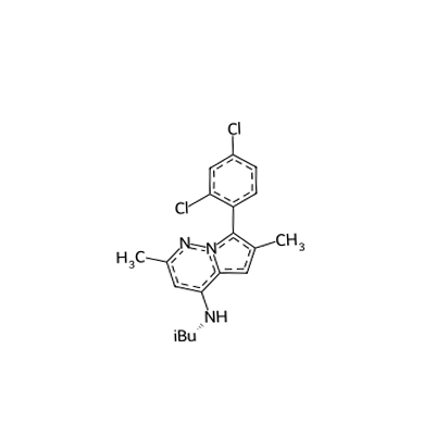 CC[C@@H](C)Nc1cc(C)nn2c(-c3ccc(Cl)cc3Cl)c(C)cc12